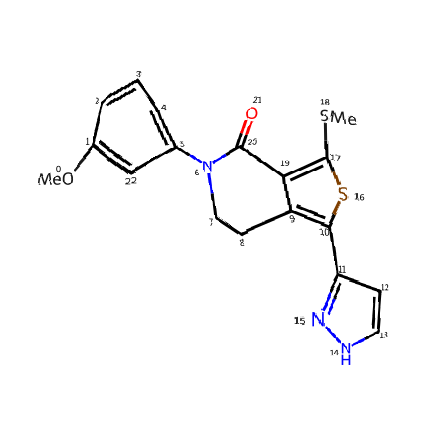 COc1cccc(N2CCc3c(-c4cc[nH]n4)sc(SC)c3C2=O)c1